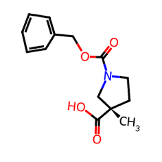 C[C@]1(C(=O)O)CCN(C(=O)OCc2ccccc2)C1